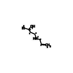 C=CCNCCC(O)CC